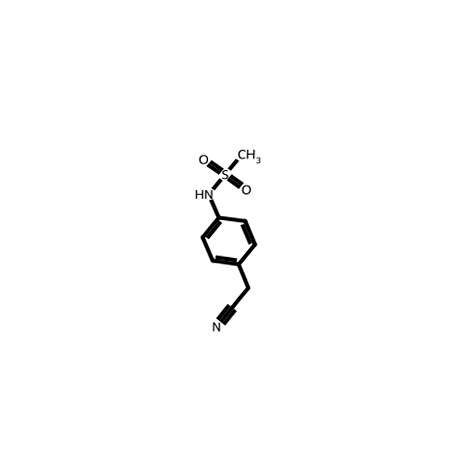 CS(=O)(=O)Nc1ccc(CC#N)cc1